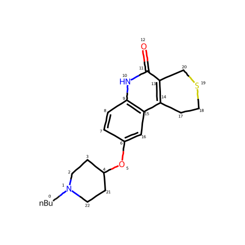 CCCCN1CCC(Oc2ccc3[nH]c(=O)c4c(c3c2)CCSC4)CC1